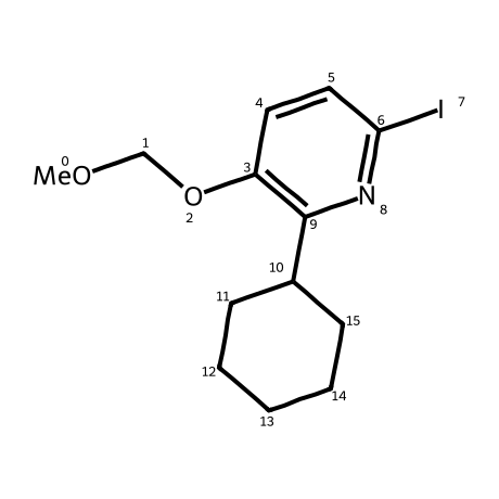 COCOc1ccc(I)nc1C1CCCCC1